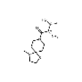 C[C@@H](O)[C@H](N)C(=O)N1CCC2(CC1)SCCN2C